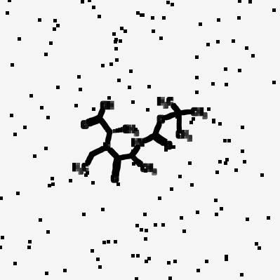 CCN(C(=O)[C@H](C)NC(=O)OC(C)(C)C)[C@@H](C)C(=O)O